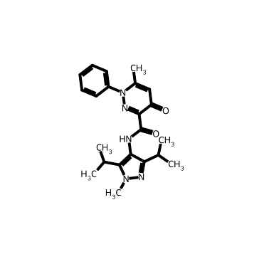 Cc1cc(=O)c(C(=O)Nc2c(C(C)C)nn(C)c2C(C)C)nn1-c1ccccc1